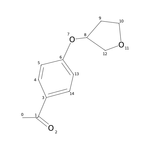 CC(=O)c1ccc(OC2CCOC2)cc1